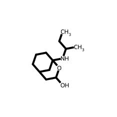 CCC(C)NC12CCCC(CC(O)O1)C2